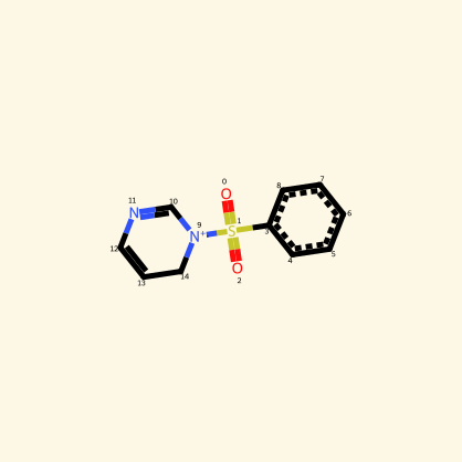 O=S(=O)(c1ccccc1)[N+]1C=NC=CC1